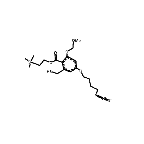 COCOc1cc(OCCCCN=[N+]=[N-])cc(CS)c1C(=O)OCC[Si](C)(C)C